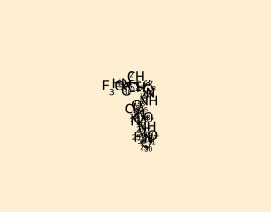 CC(C)(CSc1cccnc1CNC(=O)Cn1c(Cl)cnc(NCC(F)(F)c2cccc[n+]2[O-])c1=O)NC(=O)C(F)(F)F